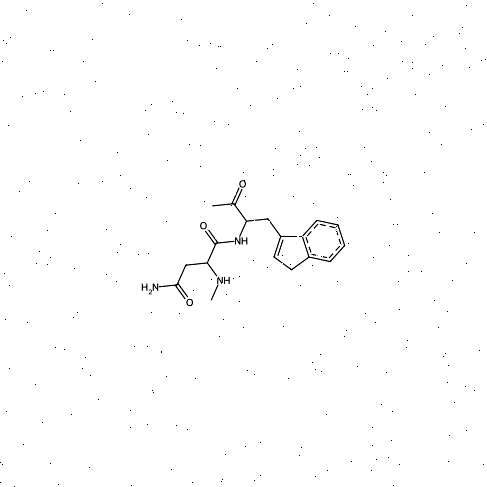 CNC(CC(N)=O)C(=O)NC(CC1=CCc2ccccc21)C(C)=O